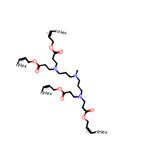 CCCCCC/C=C\COC(=O)CCN(CCCN(C)CCCN(CCC(=O)OC/C=C\CCCCCC)CCC(=O)OC/C=C\CCCCCC)CCC(=O)OC/C=C\CCCCCC